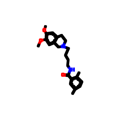 COc1cc2c(cc1OC)CN(CCCCNC(=O)c1cc(C)ccc1C)CC2